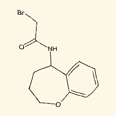 O=C(CBr)NC1CCCOc2ccccc21